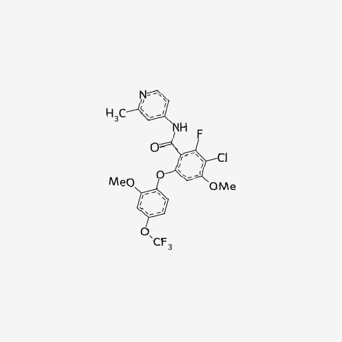 COc1cc(OC(F)(F)F)ccc1Oc1cc(OC)c(Cl)c(F)c1C(=O)Nc1ccnc(C)c1